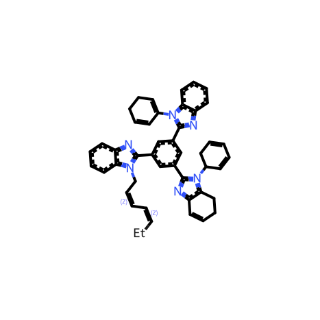 CC/C=C\C=C/Cn1c(-c2cc(-c3nc4c(n3C3C=CC=CC3)CCC=C4)cc(-c3nc4ccccc4n3C3=CCCC=C3)c2)nc2ccccc21